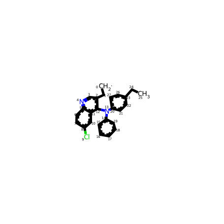 [CH2]Cc1cnc2ccc(Cl)cc2c1N(c1ccccc1)c1ccc(CC)cc1